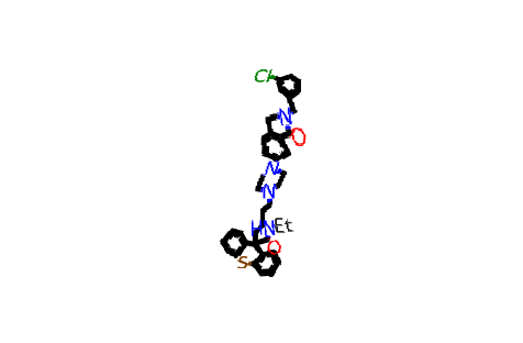 CCNC(=O)C1(CCCCN2CCN(c3ccc4c(c3)C(=O)N(Cc3cccc(Cl)c3)CC4)CC2)c2ccccc2Sc2ccccc21